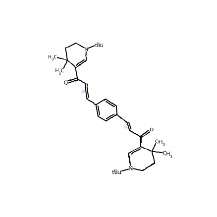 CC1(C)CCN(C(C)(C)C)C=C1C(=O)/C=C/c1ccc(/C=C/C(=O)C2=CN(C(C)(C)C)CCC2(C)C)cc1